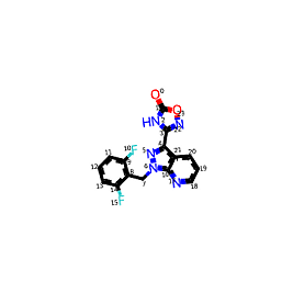 O=c1[nH]c(-c2nn(Cc3c(F)cccc3F)c3ncccc23)no1